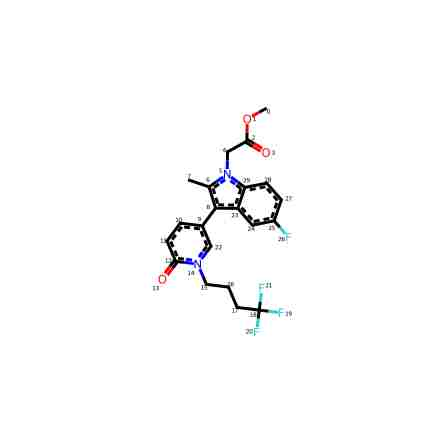 COC(=O)Cn1c(C)c(-c2ccc(=O)n(CCCC(F)(F)F)c2)c2cc(F)ccc21